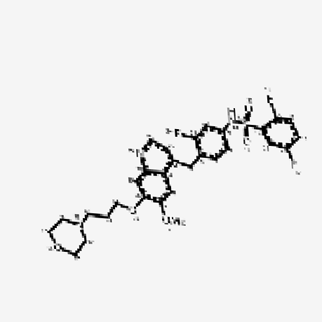 COc1cc2c(Cc3ccc(NS(=O)(=O)c4cc(F)ccc4F)cc3F)ccnc2cc1OCCCN1CCOCC1